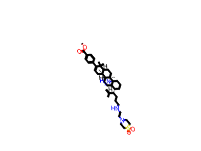 C=C(C)C(CCCNCCN1CCS(=O)(=O)CC1)[C@H]1CCC[C@]2(N)[C@@H]1CC[C@@H]1[C@@]3(C)CC=C(c4ccc(C(=O)OC)cc4)C(C)(C)[C@@H]3CC[C@]12C